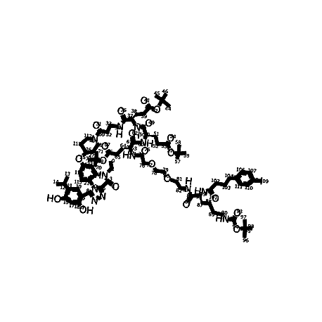 CCNC(=O)c1nnc(-c2cc(C(C)C)c(O)cc2O)n1-c1ccc(OC2CCN(C(=O)CCNC(=O)[C@@H](CCC(=O)OC(C)(C)C)NC(=O)[C@@H](CCC(=O)OC(C)(C)C)NC(=O)[C@@H](CCC(=O)OC(C)(C)C)NC(=O)COCCOCCNC(=O)[C@H](CCCCNC(=O)OC(C)(C)C)NC(=O)CCCc3ccc(I)cc3)CC2)cc1